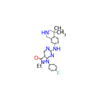 CCn1c(=O)c2cnc(Nc3ccc4c(c3)CNCC4(C)C)nc2n1-c1ccc(F)cc1